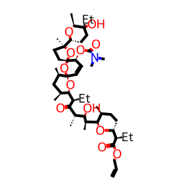 C=CCOC(=O)[C@H](CC)[C@H]1CC[C@H](C)[C@H]([C@@H](C)[C@H](O)[C@H](C)C(=O)[C@H](CC)[C@H]2O[C@]3(C=C[C@@H](OC(=O)N(C)C)[C@]4(CC[C@@](C)([C@H]5CC[C@](O)(CC)[C@H](C)O5)O4)O3)[C@H](C)C[C@@H]2C)O1